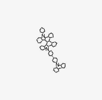 c1ccc(-n2c3ccccc3c3c4c(c5ccccc5c32)c2ccccc2c2c4c3ccccc3n2-c2ccc(-c3ccc(-n4c5ccccc5c5ccccc54)cc3)cc2)cc1